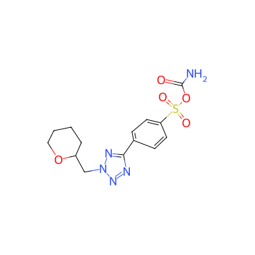 NC(=O)OS(=O)(=O)c1ccc(-c2nnn(CC3CCCCO3)n2)cc1